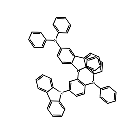 c1ccc(N(c2ccccc2)c2ccc3c(c2)c2ccccc2n3-c2cc(-n3c4ccccc4c4ccccc43)ccc2N(c2ccccc2)c2ccccc2)cc1